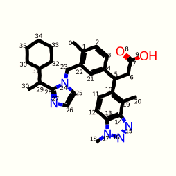 Cc1ccc(C(CC(=O)O)c2ccc3c(nnn3C)c2C)cc1Cn1ccnc1C(C)C1CCCCC1